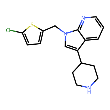 Clc1ccc(Cn2cc(C3CCNCC3)c3cccnc32)s1